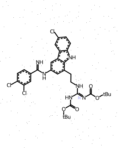 CC(C)(C)OC(=O)/N=C(\NCCc1cc(NC(=N)c2ccc(Cl)c(Cl)c2)cc2c1[nH]c1ccc(Cl)cc12)NC(=O)OC(C)(C)C